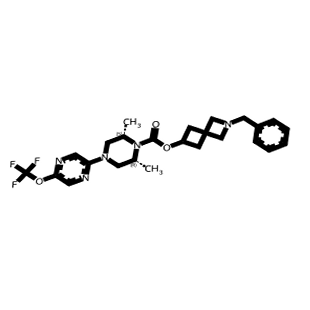 C[C@@H]1CN(c2cnc(OC(F)(F)F)cn2)C[C@H](C)N1C(=O)OC1CC2(C1)CN(Cc1ccccc1)C2